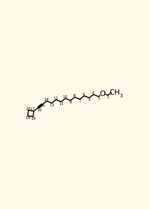 CCOCCCCCCCCCCCCC#CC1CCC1